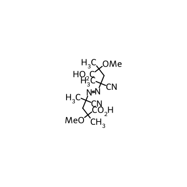 COC(C)(CC(C)(C#N)N=NC(C)(C#N)CC(C)(OC)C(=O)O)C(=O)O